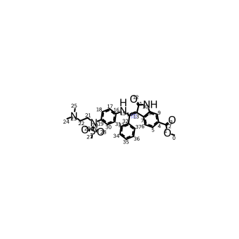 COC(=O)c1ccc2c(c1)NC(=O)/C2=C(\Nc1ccc(N(CCN(C)C)S(C)(=O)=O)cc1)c1ccccc1